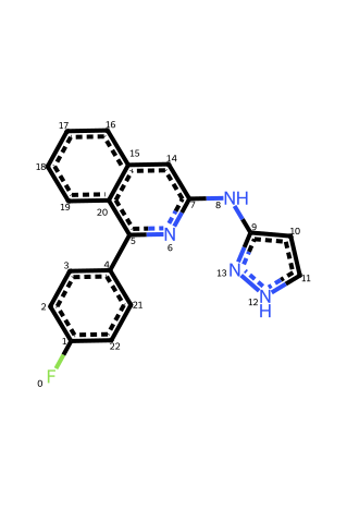 Fc1ccc(-c2nc(Nc3cc[nH]n3)cc3ccccc23)cc1